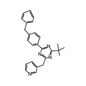 CC(C)(C)c1nc(Cc2cccnc2)nc(-c2ccc(Cc3ccccc3)cc2)n1